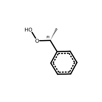 C[C@@H](OO)c1ccccc1